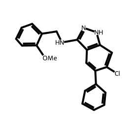 COc1ccccc1CNc1n[nH]c2cc(Cl)c(-c3ccccc3)cc12